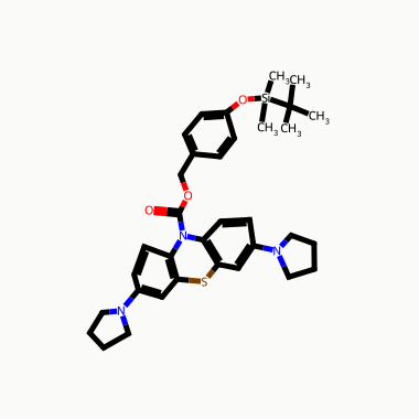 CC(C)(C)[Si](C)(C)Oc1ccc(COC(=O)N2c3ccc(N4CCCC4)cc3Sc3cc(N4CCCC4)ccc32)cc1